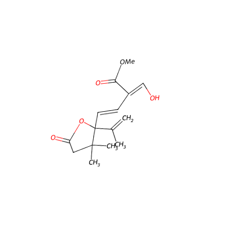 C=C(C)C1(/C=C/C(=C\O)C(=O)OC)OC(=O)CC1(C)C